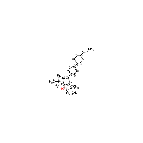 CCCC1CCC(c2ccc(-c3cc(C(C)(C)C)c(O)c(C(C)(C)C)c3)cc2)CC1